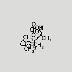 CC(C=CC1=C(C)CCCC1(C)C)=CC=C/C(C)=C\C(=O)O[N+]1(O)C(=O)CCC1=O